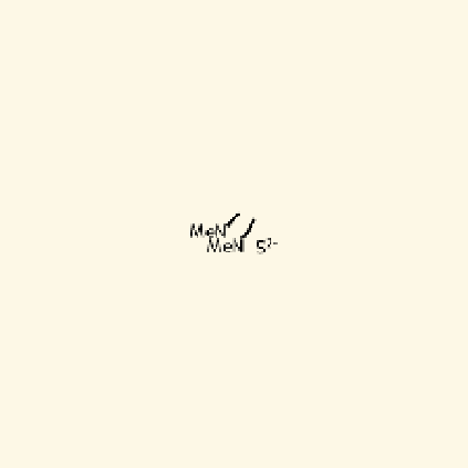 C[NH2+]C.C[NH2+]C.[S-2]